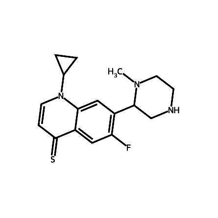 CN1CCNCC1c1cc2c(cc1F)c(=S)ccn2C1CC1